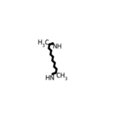 CC(C=N)CCCCCCCCC(C)C=N